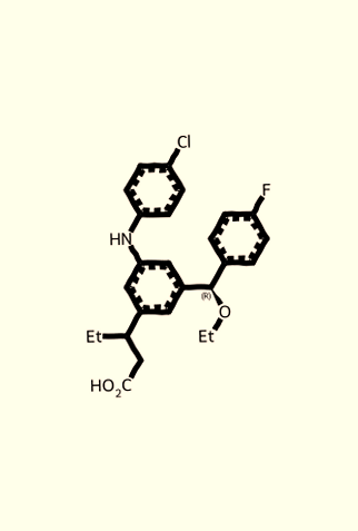 CCO[C@H](c1ccc(F)cc1)c1cc(Nc2ccc(Cl)cc2)cc(C(CC)CC(=O)O)c1